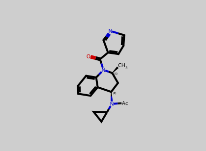 CC(=O)N(C1CC1)[C@@H]1C[C@H](C)N(C(=O)c2cccnc2)c2ccccc21